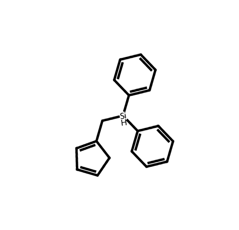 C1=CCC(C[SiH](c2ccccc2)c2ccccc2)=C1